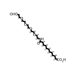 O=[C]CCOCCOCCOCCOCCNC(=O)CCCCCCCCCCC(=O)O